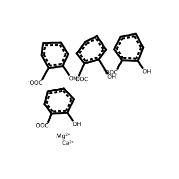 O=C([O-])c1ccccc1O.O=C([O-])c1ccccc1O.O=C([O-])c1ccccc1O.O=C([O-])c1ccccc1O.[Ca+2].[Mg+2]